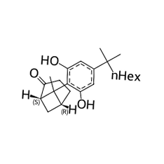 CCCCCCC(C)(C)c1cc(O)c(C2(C)[C@@H]3CCC(=O)[C@H]2C3)c(O)c1